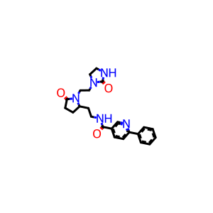 O=C(NCCC1CCC(=O)N1CCN1CCNC1=O)c1ccc(-c2ccccc2)nc1